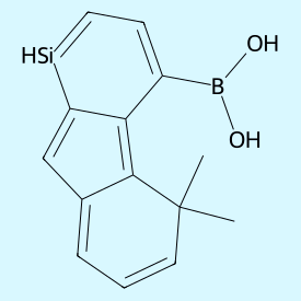 CC1(C)C=CC=C2C=c3[siH]ccc(B(O)O)c3=C21